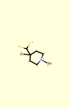 CCC1(C(F)F)CCN(C(C)(C)C)CC1